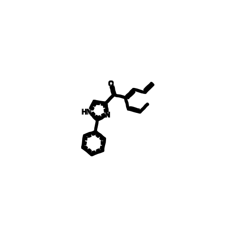 C=C/C=C(\C=C/C)C(=O)c1c[nH]c(-c2ccccc2)n1